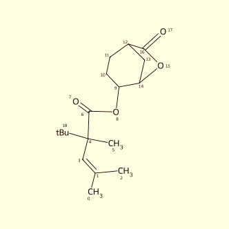 CC(C)=CC(C)(C(=O)OC1CCC2CC1OC2=O)C(C)(C)C